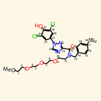 COCCOCCOCCOCCN(Cc1ccc(C(C)(C)C)cc1)C(=O)c1ncn(-c2cc(Cl)c(O)c(Cl)c2)n1